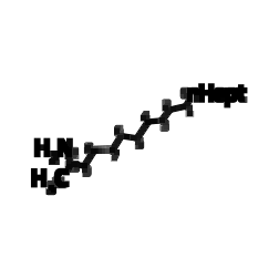 CCCCCCCCCCCCCC=CCC(C)N